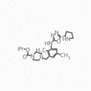 Cc1cc(CN2CCN(C(=O)OC(C)C)CC2)c(C)c(Nc2nnc([C@@H]3CCCN3)o2)c1